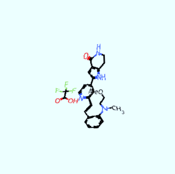 COCCN(C)c1ccccc1C=Cc1cc(-c2cc3c([nH]2)CCNC3=O)ccn1.O=C(O)C(F)(F)F